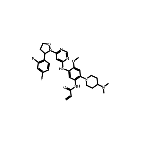 C=CC(=O)Nc1cc(Nc2cc(N3OCCC3c3ccc(F)cc3F)ncn2)c(OC)cc1N1CCC(N(C)C)CC1